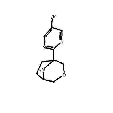 Brc1cnc(C23CCC(COC2)N3)nc1